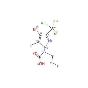 CCCC(C(=O)O)n1nc(C(F)(F)F)c(Br)c1C